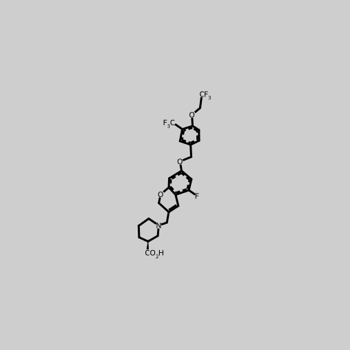 O=C(O)[C@H]1CCCN(CC2=Cc3c(F)cc(OCc4ccc(OCC(F)(F)F)c(C(F)(F)F)c4)cc3OC2)C1